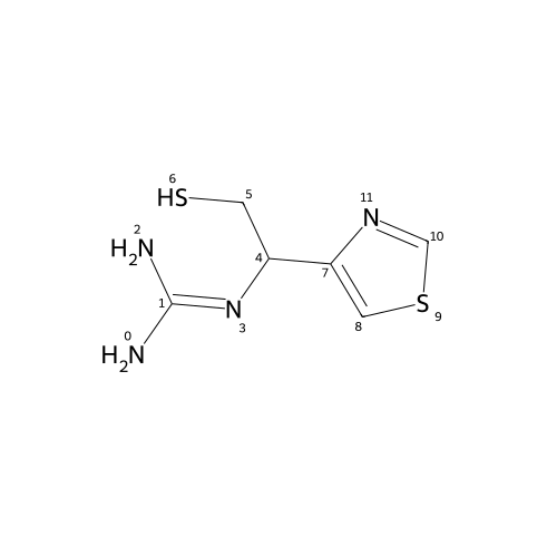 NC(N)=NC(CS)c1cscn1